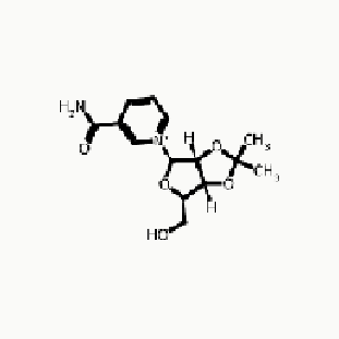 CC1(C)O[C@@H]2[C@H](O1)[C@@H](CO)O[C@H]2[n+]1cccc(C(N)=O)c1